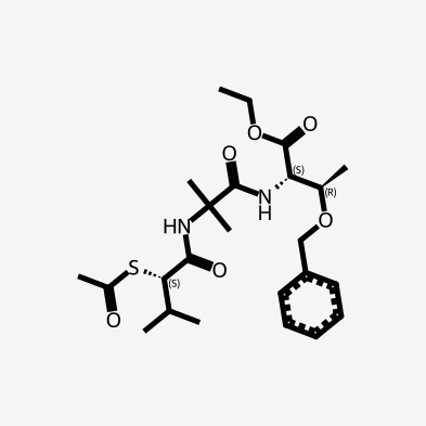 CCOC(=O)[C@@H](NC(=O)C(C)(C)NC(=O)[C@@H](SC(C)=O)C(C)C)[C@@H](C)OCc1ccccc1